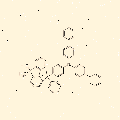 CC1(C)c2cccc3c2-c2c1cccc2C3(c1ccccc1)c1ccc(N(c2ccc(-c3ccccc3)cc2)c2ccc(-c3ccccc3)cc2)cc1